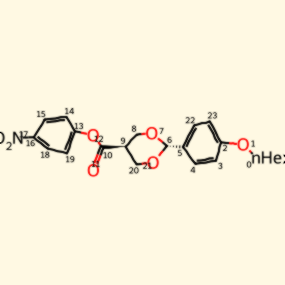 CCCCCCOc1ccc([C@H]2OC[C@H](C(=O)Oc3ccc([N+](=O)[O-])cc3)CO2)cc1